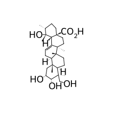 C[C@@H]1CC[C@]2(C(=O)O)CC[C@]3(C)C(=CC[C@@H]4[C@@]5(C)C[C@@H](O)[C@@H](O)[C@](C)(CO)[C@@H]5CC[C@]43C)[C@@H]2[C@]1(C)O